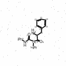 CC(C)NC(=O)N(C(=O)C(N)Cc1ccccc1)C(C)C